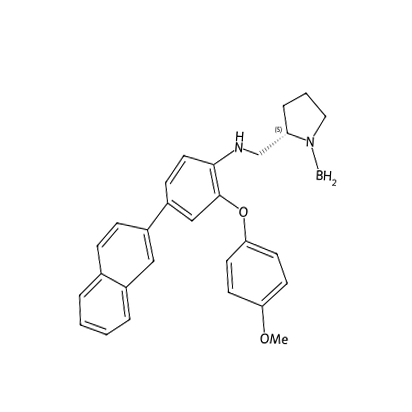 BN1CCC[C@H]1CNc1ccc(-c2ccc3ccccc3c2)cc1Oc1ccc(OC)cc1